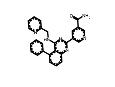 NC(=O)c1cncc(-c2nc(NCc3ccccn3)c3c(-c4ccccc4)cccc3n2)c1